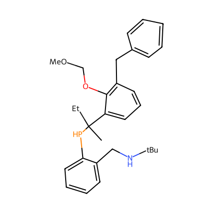 CCC(C)(Pc1ccccc1CNC(C)(C)C)c1cccc(Cc2ccccc2)c1OCOC